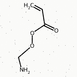 C=CC(=O)OOCN